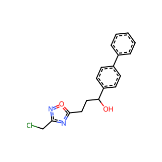 OC(CCc1nc(CCl)no1)c1ccc(-c2ccccc2)cc1